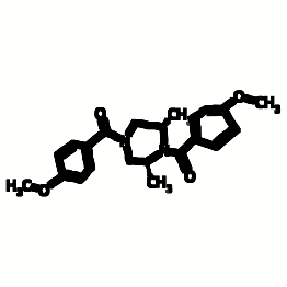 COc1ccc(C(=O)N2C[C@@H](C)N(C(=O)c3ccc(OC)cc3)[C@H](C)C2)cc1